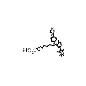 Cc1ccc(-c2c(C)noc2C)cc1N(CCCCCCOCC(=O)O)c1ccc(-n2ccnc2)cc1